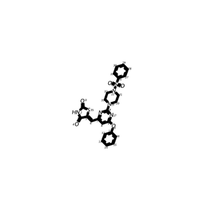 O=C1NC(=O)C(=Cc2cc(Oc3ccccc3)nc(N3CCN(S(=O)(=O)c4ccccc4)CC3)n2)S1